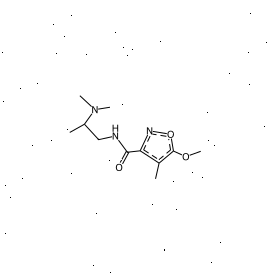 COc1onc(C(=O)NCC(C)N(C)C)c1C